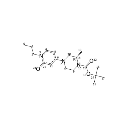 CCCn1ccc(N2CCN(C(=O)OC(C)(C)C)[C@H](C)C2)cc1=O